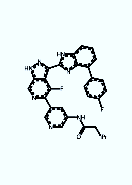 CC(C)CC(=O)Nc1cncc(-c2ncc3[nH]nc(-c4nc5c(-c6ccc(F)cc6)cccc5[nH]4)c3c2F)c1